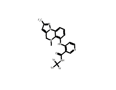 [2H]C([2H])([2H])NC(=O)c1cnccc1Nc1cccc2c1N(C)Cc1cc(C(F)(F)F)nn1-2